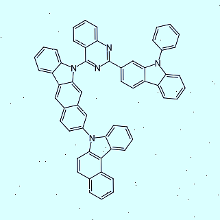 c1ccc(-n2c3ccccc3c3ccc(-c4nc(-n5c6ccccc6c6cc7ccc(-n8c9ccccc9c9c%10ccccc%10ccc98)cc7cc65)c5ccccc5n4)cc32)cc1